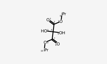 CC(C)OC(=O)C(O)(O)C(=O)OC(C)C